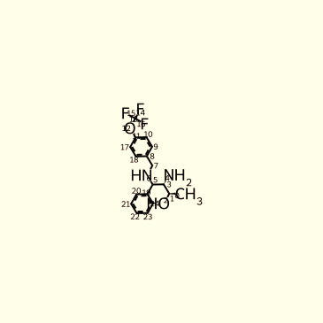 C[C@@H](O)[C@@H](N)C(NCc1ccc(OC(F)(F)F)cc1)c1ccccc1